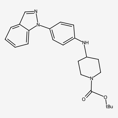 CC(C)(C)OC(=O)N1CCC(Nc2ccc(-n3ncc4ccccc43)cc2)CC1